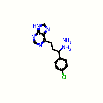 N.NC(CCc1ncnc2[nH]cnc12)c1ccc(Cl)cc1